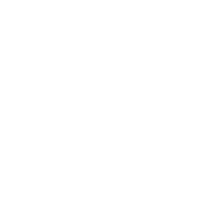 C/C=C/C=C(\C)C=C(C)C